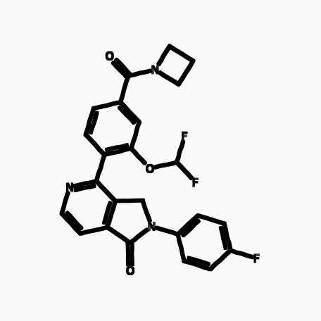 O=C(c1ccc(-c2nccc3c2CN(c2ccc(F)cc2)C3=O)c(OC(F)F)c1)N1CCC1